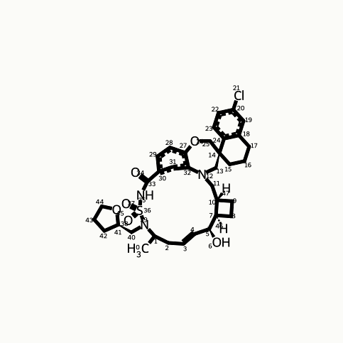 CC1C/C=C/[C@H](O)[C@@H]2CC[C@H]2CN2C[C@@]3(CCCc4cc(Cl)ccc43)COc3ccc(cc32)C(=O)NS(=O)(=O)N1C[C@H]1CCCO1